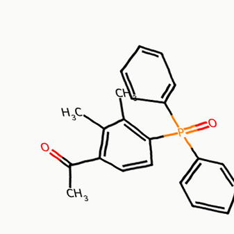 CC(=O)c1ccc(P(=O)(c2ccccc2)c2ccccc2)c(C)c1C